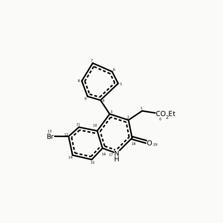 CCOC(=O)Cc1c(-c2ccccc2)c2cc(Br)ccc2[nH]c1=O